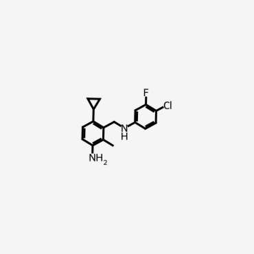 Cc1c(N)ccc(C2CC2)c1CNc1ccc(Cl)c(F)c1